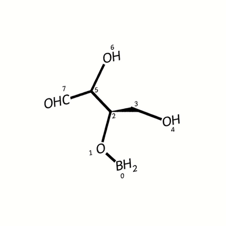 BO[C@H](CO)C(O)C=O